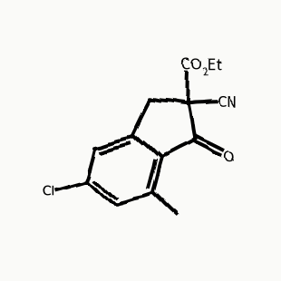 CCOC(=O)C1(C#N)Cc2cc(Cl)cc(C)c2C1=O